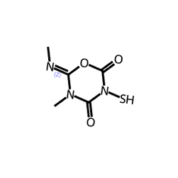 C/N=c1\oc(=O)n(S)c(=O)n1C